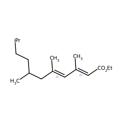 CCOC(=O)/C=C(C)/C=C(\C)CC(C)CCC(C)C